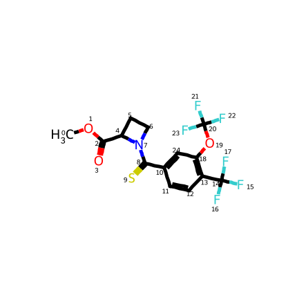 COC(=O)C1CCN1C(=S)c1ccc(C(F)(F)F)c(OC(F)(F)F)c1